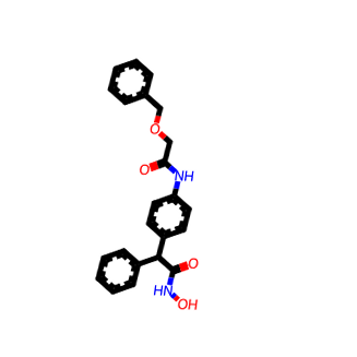 O=C(COCc1ccccc1)Nc1ccc(C(C(=O)NO)c2ccccc2)cc1